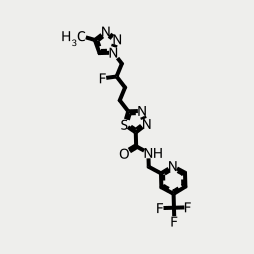 Cc1cn(CC(F)CCc2nnc(C(=O)NCc3cc(C(F)(F)F)ccn3)s2)nn1